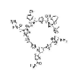 Cc1sc2nc1C(=O)N[C@@H]([C@H](O)c1ccccc1)c1nc(cs1)C(=O)N[C@@H](Cc1ccc(O)cc1)C(=O)N1C[C@H](OC(=O)NCCN)[C@H](C)[C@H]1c1nc(cs1)-c1nc(cs1)-c1nc(-c3nc(C(N)=O)cs3)ccc1-c1nc(cs1)C(=O)N[C@H]2CC(N)=O